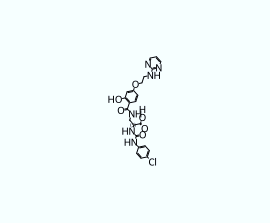 O=C(Nc1ccc(Cl)cc1)N[C@@H](CNC(=O)c1ccc(OCCNc2ncccn2)cc1O)C(=O)O